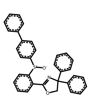 [O-][S+](c1ccc(-c2ccccc2)cc1)c1ccccc1C1=NC(c2ccccc2)(c2ccccc2)CO1